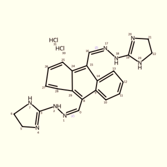 C(=N/NC1=NCCN1)/c1c2ccccc2c(/C=N\NC2=NCCN2)c2ccccc12.Cl.Cl